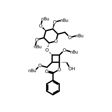 CCCCOCC1O[C@H](O[C@H]2C(COCCCC)[C@](CO)(OC(=O)c3ccccc3)C2OCCCC)C(OCCCC)[C@@H](OCCCC)[C@H]1OCCCC